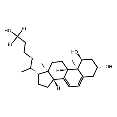 CCC(O)(CC)CCSC(C)[C@H]1CC[C@H]2C3=CC=C4C[C@@H](O)C[C@H](O)[C@]4(C)[C@H]3CC[C@]12C